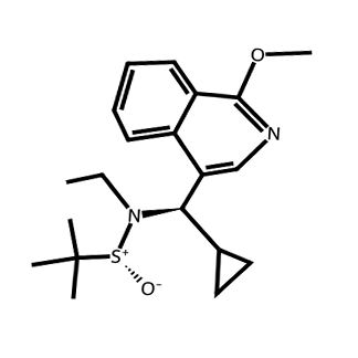 CCN([C@@H](c1cnc(OC)c2ccccc12)C1CC1)[S@+]([O-])C(C)(C)C